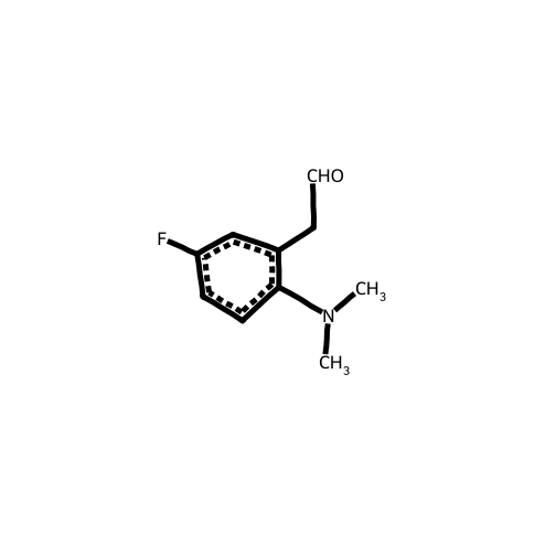 CN(C)c1ccc(F)cc1CC=O